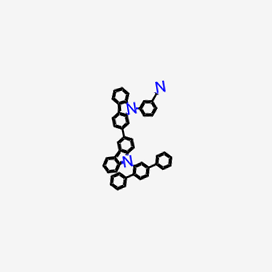 N#Cc1cccc(-n2c3ccccc3c3ccc(-c4ccc5c(c4)c4ccccc4n5-c4cc(-c5ccccc5)ccc4-c4ccccc4)cc32)c1